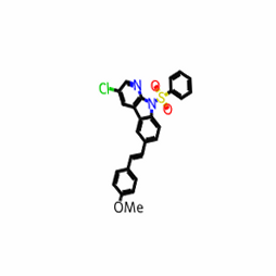 COc1ccc(C=Cc2ccc3c(c2)c2cc(Cl)cnc2n3S(=O)(=O)c2ccccc2)cc1